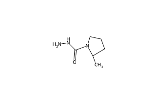 CC1CCCN1C(=O)NN